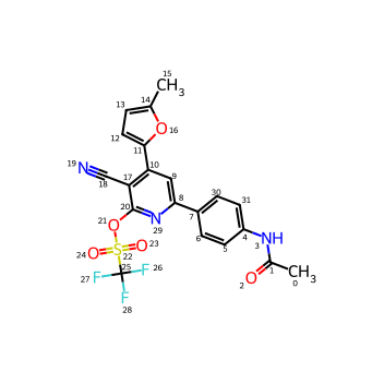 CC(=O)Nc1ccc(-c2cc(-c3ccc(C)o3)c(C#N)c(OS(=O)(=O)C(F)(F)F)n2)cc1